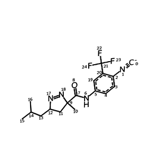 [C-]#[N+]c1ccc(NC(=O)C2(C)CC(CC(C)C)N=N2)cc1C(F)(F)F